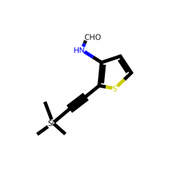 C[Si](C)(C)C#Cc1sccc1NC=O